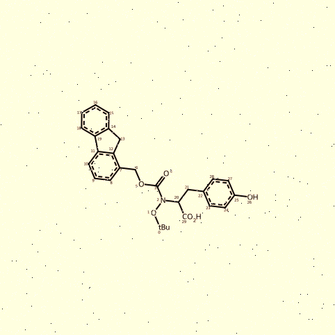 CC(C)(C)ON(C(=O)OCc1cccc2c1Cc1ccccc1-2)C(Cc1ccc(O)cc1)C(=O)O